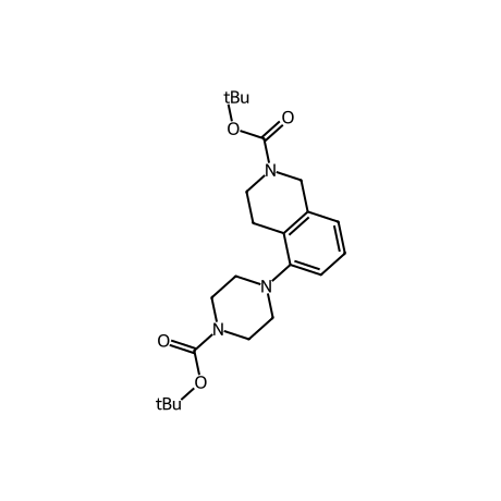 CC(C)(C)OC(=O)N1CCN(c2cccc3c2CCN(C(=O)OC(C)(C)C)C3)CC1